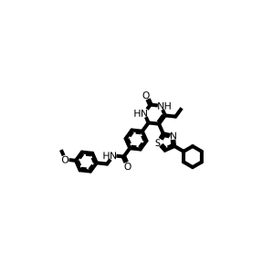 CCC1=C(c2nc(C3CCCCC3)cs2)C(c2ccc(C(=O)NCc3ccc(OC)cc3)cc2)NC(=O)N1